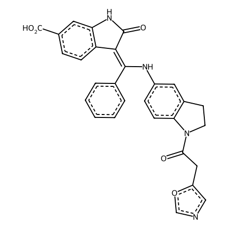 O=C1Nc2cc(C(=O)O)ccc2/C1=C(/Nc1ccc2c(c1)CCN2C(=O)Cc1cnco1)c1ccccc1